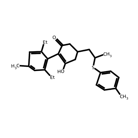 CCc1cc(C)cc(CC)c1C1=C(O)CC(CC(C)Sc2ccc(C)cc2)CC1=O